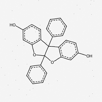 Oc1ccc2c(c1)OC1(c3ccccc3)Oc3cc(O)ccc3C21c1ccccc1